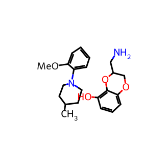 COc1ccccc1N1CCC(C)CC1.NCC1COc2cccc(O)c2O1